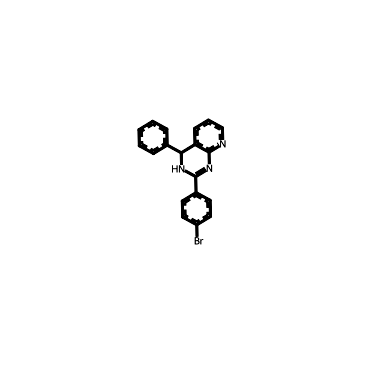 Brc1ccc(C2=Nc3ncccc3C(c3ccccc3)N2)cc1